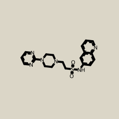 O=S(=O)(CCN1CCN(c2ncccn2)CC1)Nc1ccc2ncccc2c1